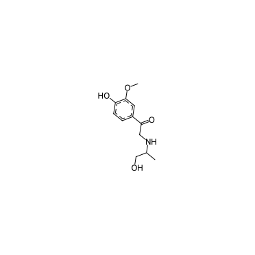 COc1cc(C(=O)CNC(C)CO)ccc1O